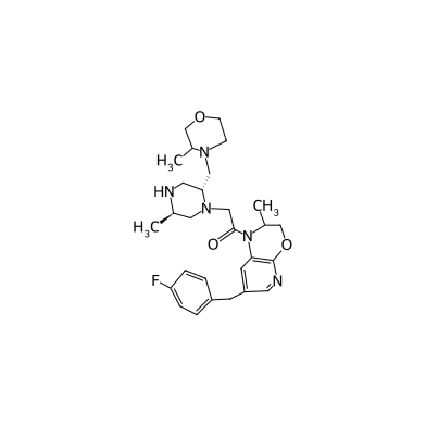 CC1COCCN1C[C@H]1CN[C@H](C)CN1CC(=O)N1c2cc(Cc3ccc(F)cc3)cnc2OCC1C